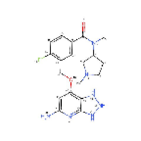 CN1CCC(N(C)C(=O)c2ccc(F)c(COc3cc(N)nc4c3NNN4)c2)C1